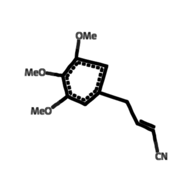 COc1cc(CC=CC#N)cc(OC)c1OC